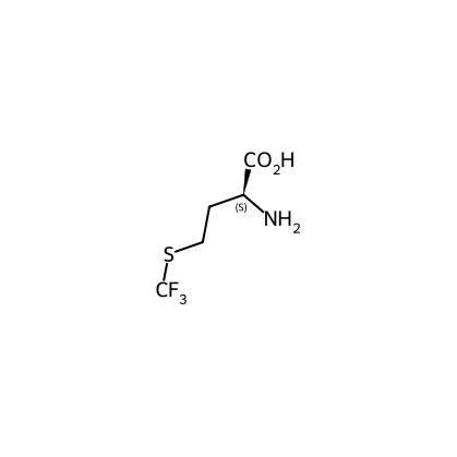 N[C@@H](CCSC(F)(F)F)C(=O)O